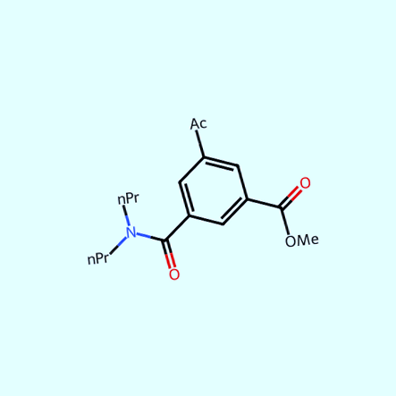 CCCN(CCC)C(=O)c1cc(C(C)=O)cc(C(=O)OC)c1